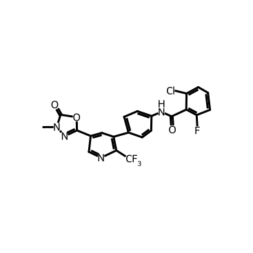 Cn1nc(-c2cnc(C(F)(F)F)c(-c3ccc(NC(=O)c4c(F)cccc4Cl)cc3)c2)oc1=O